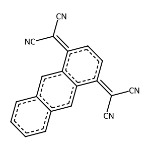 N#CC(C#N)=c1ccc(=C(C#N)C#N)c2cc3ccccc3cc12